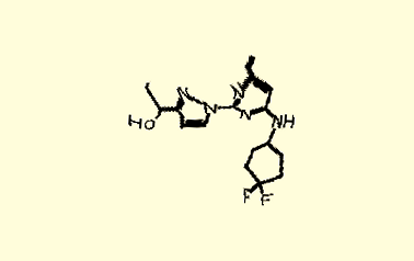 Cc1cc(NC2CCC(F)(F)CC2)nc(-n2ccc(C(C)O)n2)n1